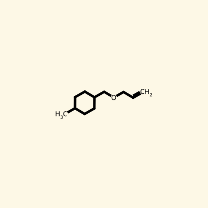 C=CCOCC1CCC(C)CC1